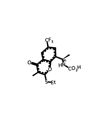 CCSc1oc2c([C@@H](C)NC(=O)O)cc(C(F)(F)F)cc2c(=O)c1C